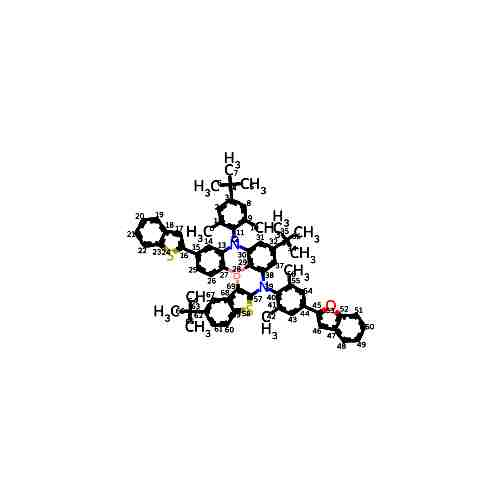 Cc1cc(C(C)(C)C)cc(C)c1N1c2cc(-c3cc4ccccc4s3)ccc2B2c3c1cc(C(C)(C)C)cc3N(c1c(C)cc(-c3cc4ccccc4o3)cc1C)c1sc3ccc(C(C)(C)C)cc3c12